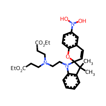 CCOC(=O)CCN(CCC(=O)OCC)CCN1c2ccccc2C(C)(C)C12C=Cc1cc(N(O)O)ccc1O2